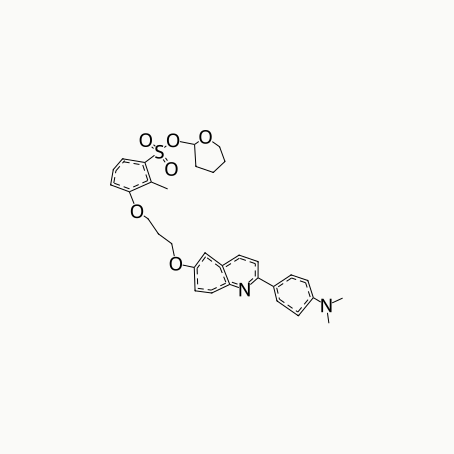 Cc1c(OCCCOc2ccc3nc(-c4ccc(N(C)C)cc4)ccc3c2)cccc1S(=O)(=O)OC1CCCCO1